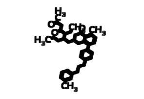 CCCC(CC1CC(=O)c2c(C)ccc(-c3ccc(CCCc4cccc(C)c4)cc3)c2C1)C(CC)C(=O)CC(C)=O